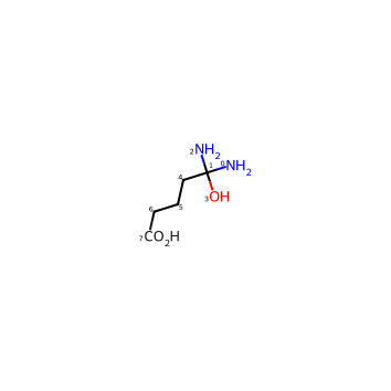 NC(N)(O)CCCC(=O)O